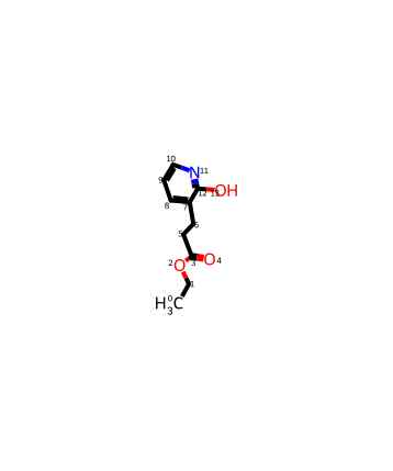 CCOC(=O)CCc1cccnc1O